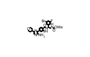 COC(=O)NCC(NC(=O)c1ccc(-c2nc(C3CCOCC3)cnc2N)cc1F)c1cc(F)cc(Br)c1